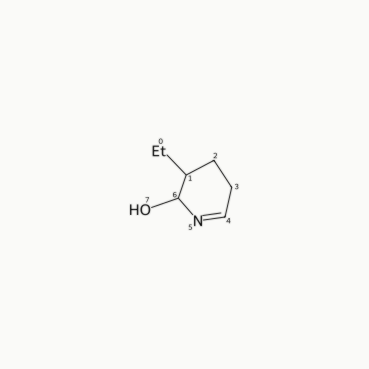 CCC1CCC=NC1O